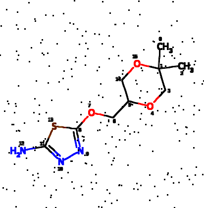 CC1(C)COC(COc2nnc(N)s2)CO1